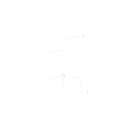 CCC1C[N+]([O-])(CC)CCO1